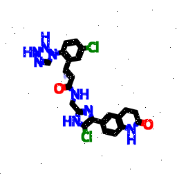 O=C(/C=C/c1cc(Cl)ccc1N1C=NNN1)NCc1nc(-c2ccc3c(c2)CCC(=O)N3)c(Cl)[nH]1